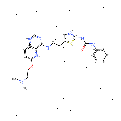 CN(C)CCOc1ccc2ncnc(NCCc3cnc(NC(=O)Nc4ccccc4)s3)c2n1